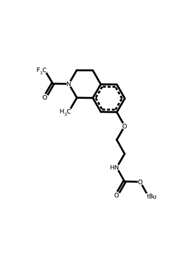 CC1c2cc(OCCNC(=O)OC(C)(C)C)ccc2CCN1C(=O)C(F)(F)F